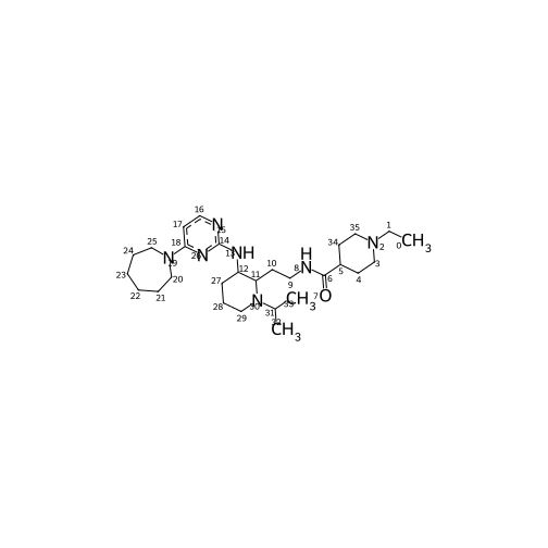 CCN1CCC(C(=O)NCCC2C(Nc3nccc(N4CCCCCC4)n3)CCCN2C(C)C)CC1